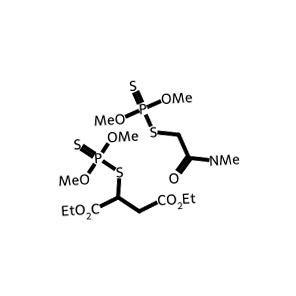 CCOC(=O)CC(SP(=S)(OC)OC)C(=O)OCC.CNC(=O)CSP(=S)(OC)OC